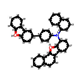 c1ccc2c(N(c3ccc(-c4ccc5oc6ccccc6c5c4)cc3)c3cccc4c3oc3c5ccccc5ccc43)cccc2c1